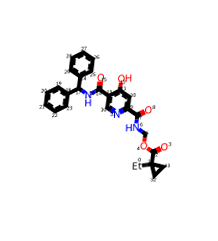 CCC1(C(=O)OCNC(=O)c2cc(O)c(C(=O)NC(c3ccccc3)c3ccccc3)cn2)CC1